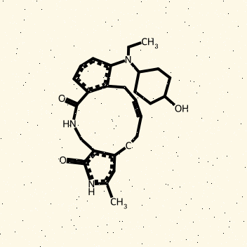 CCN(c1cccc2c1CC=CCCc1cc(C)[nH]c(=O)c1CNC2=O)C1CCC(O)CC1